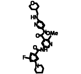 CON(C(=O)c1cc(NC(=O)c2cc(F)cc(N3CCCCC3)c2)cnc1C)c1ccc(NCC2CCOCC2)nc1